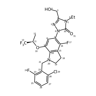 CCn1c(CO)nn(-c2cc(O[C@H](C)C(F)(F)F)c3c(c2F)CCN3Cc2c(F)cccc2Cl)c1=O